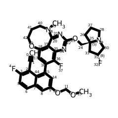 C#Cc1c(F)ccc2cc(OCOC)cc(-c3cc4c5c(nc(OC[C@@]67CCCN6C[C@H](F)C7)nc5c3F)N(C)CCCO4)c12